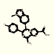 CNC(=O)c1cn2c(-c3ccc4ncn(C)c4c3)c(-c3ccc(F)cc3)nc(N)c2n1